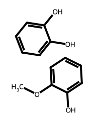 COc1ccccc1O.Oc1ccccc1O